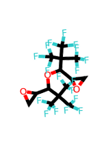 FC(F)(F)C(C(OC(C1CO1)C(C(F)(F)F)(C(F)(F)F)C(F)(F)F)C1CO1)(C(F)(F)F)C(F)(F)F